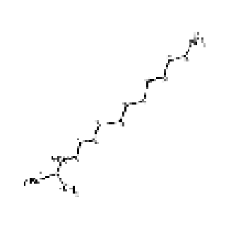 CCCCC(C)NCCCCCCCCCCCN